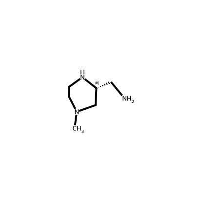 CN1CCN[C@H](CN)C1